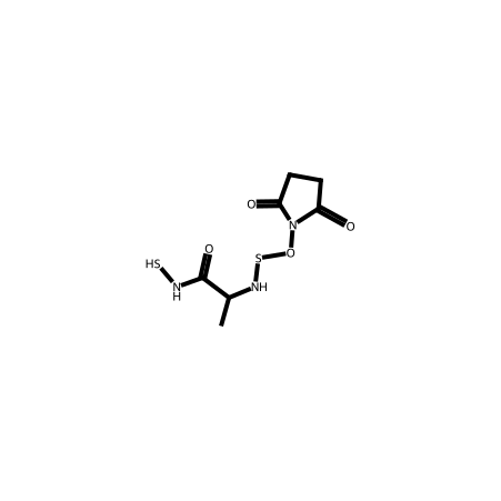 CC(NSON1C(=O)CCC1=O)C(=O)NS